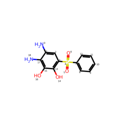 Nc1cc(S(=O)(=O)c2ccccc2)c(O)c(O)c1N